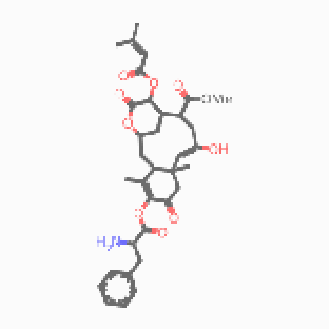 COC(=O)C1C/C(O)=C/C2(C)CC(=O)C(OC(=O)C(N)Cc3ccccc3)=C(C)C2CC2CC1C(OC(=O)C=C(C)C)C(=O)O2